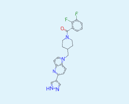 O=C(c1cccc(F)c1F)N1CCC(Cn2ccc3nc(-c4cn[nH]c4)ccc32)CC1